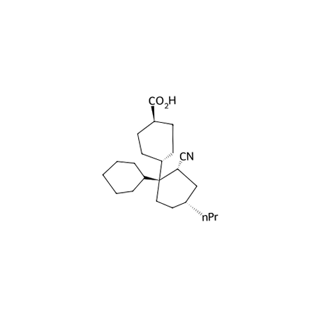 CCC[C@@H]1CC[C@](C2CCCCC2)([C@H]2CC[C@H](C(=O)O)CC2)[C@H](C#N)C1